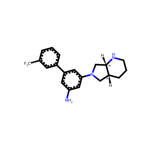 Nc1cc(-c2cccc(C(F)(F)F)c2)cc(N2C[C@H]3CCCN[C@H]3C2)c1